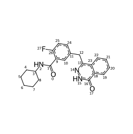 O=C(N[C]1CCCCC1)c1cc(Cc2n[nH]c(=O)c3ccccc23)ccc1F